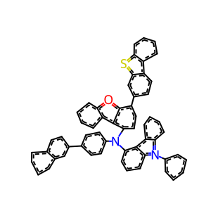 c1ccc(-n2c3ccccc3c3c(N(c4ccc(-c5ccc6ccccc6c5)cc4)c4ccc(-c5ccc6c(c5)sc5ccccc56)c5oc6ccccc6c45)cccc32)cc1